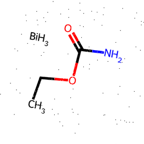 CCOC(N)=O.[BiH3]